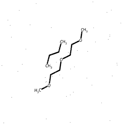 CCCC.COCCOCCOC